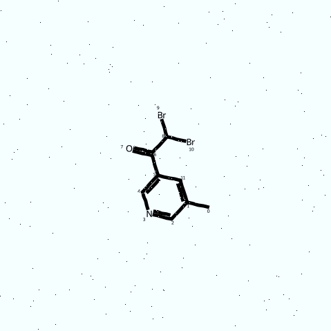 Cc1cncc(C(=O)C(Br)Br)c1